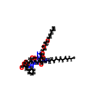 CCCCCCCCCCCCCCNC(=O)[C@H](CC(=O)N[C@@H](CO)C(=O)N[C@@H](Cc1ccccc1)C(=O)O)NC(=O)COCCOCCOCCCCCCC